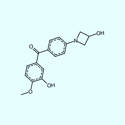 COc1ccc(C(=O)c2ccc(N3CC(O)C3)cc2)cc1O